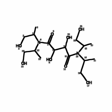 CC(CO)N(C(=O)C(O)C(O)C(=O)N(C(C)CO)C(C)CO)C(C)CO